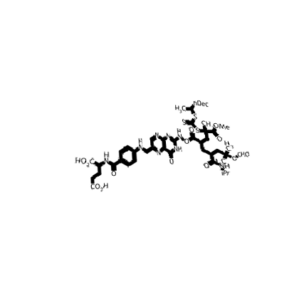 CCCCCCCCCCC(C)SC(=S)SC(C)(CC(CC(CC(C)(C)OC=O)C(=O)NC(C)C)C(=O)ONc1nc2ncc(CNc3ccc(C(=O)NC(CCC(=O)O)C(=O)O)cc3)nc2c(=O)[nH]1)C(=O)OC